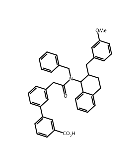 COc1cccc(CC2CCc3ccccc3C2N(Cc2ccccc2)C(=O)Cc2cccc(-c3cccc(C(=O)O)c3)c2)c1